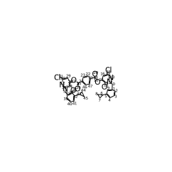 Cc1cccc(C2CC2)c1Oc1nnc(Cl)cc1OC(=O)c1ccc(C(=O)Oc2cc(Cl)nnc2Oc2c(C)cccc2C2CC2)cc1